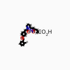 Cc1ccccc1COc1ccc(CC(=O)N2CCCC2c2cc(CC(C)C(=O)O)on2)cc1